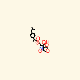 CC(C)Cc1ccc(C(C)C(=O)OCCC(C(=O)O)C2(N=O)CCOCC2)cc1